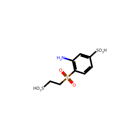 Nc1cc(S(=O)(=O)O)ccc1S(=O)(=O)CCS(=O)(=O)O